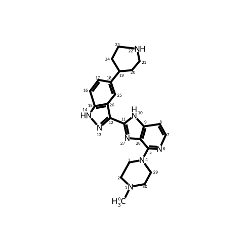 CN1CCN(c2nccc3[nH]c(-c4n[nH]c5ccc(C6CCNCC6)cc45)nc23)CC1